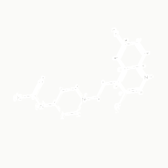 O=C(O)NC1CCN(CCc2c(Cl)cnc3ccc(F)cc23)CC1